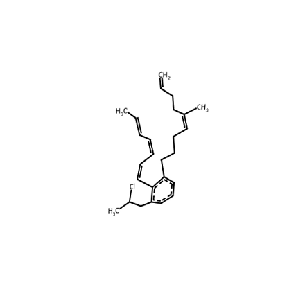 C=CCC/C(C)=C\CCCc1cccc(CC(C)Cl)c1\C=C/C=C\C=C\C